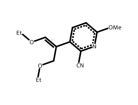 CCO/C=C(\COCC)c1ccc(OC)nc1C#N